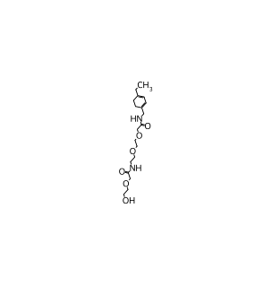 CCC1=CC=C(CNC(=O)COCCOCCNC(=O)COCCO)CC1